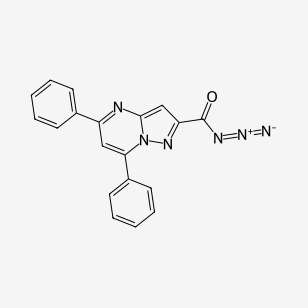 [N-]=[N+]=NC(=O)c1cc2nc(-c3ccccc3)cc(-c3ccccc3)n2n1